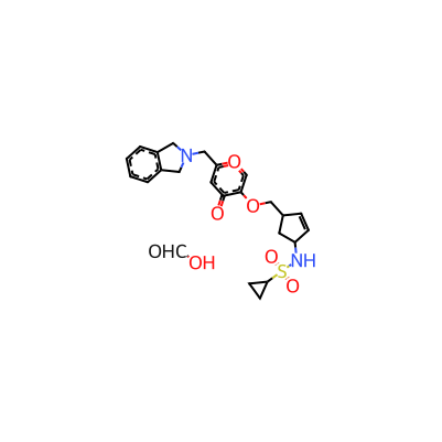 O=CO.O=c1cc(CN2Cc3ccccc3C2)occ1OCC1C=CC(NS(=O)(=O)C2CC2)C1